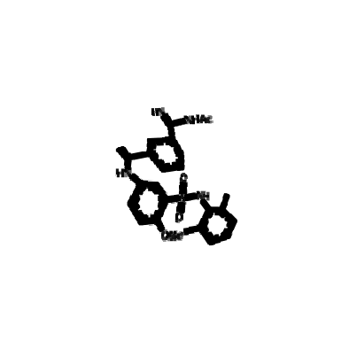 C=C(Nc1ccc(OC)c(S(=O)(=O)Nc2c(C)cccc2C)c1)c1cccc(C(=N)NC(C)=O)c1